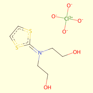 OCC[N+](CCO)=c1sccs1.[O-][Cl+3]([O-])([O-])[O-]